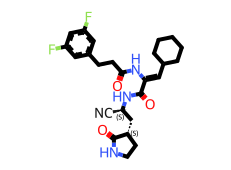 N#C[C@H](C[C@@H]1CCNC1=O)NC(=O)C(=CC1CCCCC1)NC(=O)CCc1cc(F)cc(F)c1